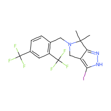 CC1(C)c2n[nH]c(I)c2CN1Cc1ccc(C(F)(F)F)cc1C(F)(F)F